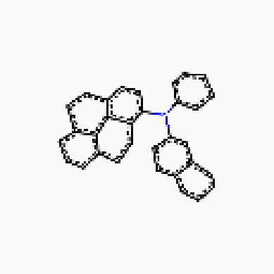 c1ccc(N(c2ccc3ccccc3c2)c2ccc3ccc4cccc5ccc2c3c45)cc1